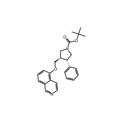 CC(C)(C)OC(=O)N1C[C@H](COc2cccc3cnccc23)[C@@H](c2ccccc2)C1